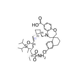 CC[C@H](CC[C@H](/C=C/[C@@H]1CC[C@H]1CN1CC2(CCCc3cc(Cl)ccc32)COc2ccc(C(=O)O)cc21)O[Si](C(C)C)(C(C)C)C(C)C)S(N)(=O)=O